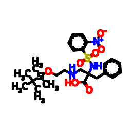 CC(C)(C)[Si](C)(C)OCCNC[C@](Cc1ccccc1)(NS(=O)(=O)c1ccccc1[N+](=O)[O-])C(=O)O